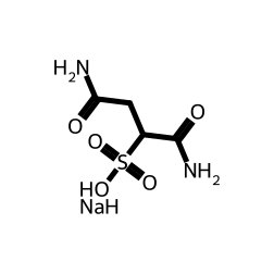 NC(=O)CC(C(N)=O)S(=O)(=O)O.[NaH]